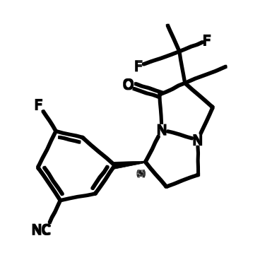 CC(F)(F)C1(C)CN2CC[C@@H](c3cc(F)cc(C#N)c3)N2C1=O